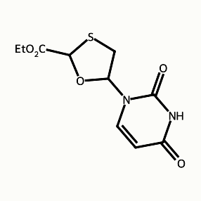 CCOC(=O)C1OC(n2ccc(=O)[nH]c2=O)CS1